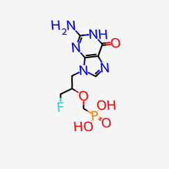 Nc1nc2c(ncn2CC(CF)OCP(=O)(O)O)c(=O)[nH]1